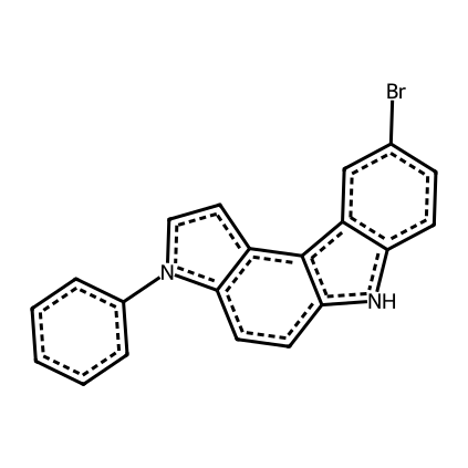 Brc1ccc2[nH]c3ccc4c(ccn4-c4ccccc4)c3c2c1